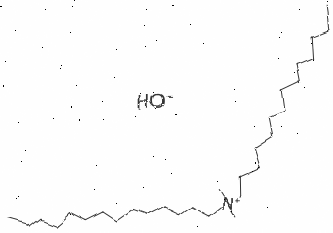 CCCCCCCCCCCCCC[N+](C)(C)CCCCCCCCCCCCCC.[OH-]